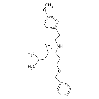 COc1ccc(CCNC(CCOCc2ccccc2)C(N)CC(C)C)cc1